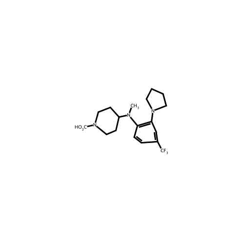 CN(c1ccc(C(F)(F)F)cc1N1CCCC1)C1CCN(C(=O)O)CC1